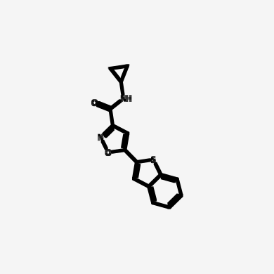 O=C(NC1CC1)c1cc(-c2cc3ccccc3s2)on1